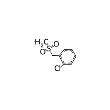 [CH2]S(=O)(=O)Cc1ccccc1Cl